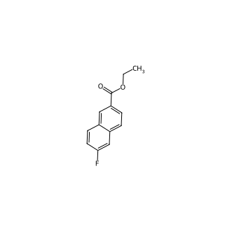 CCOC(=O)c1ccc2cc(F)ccc2c1